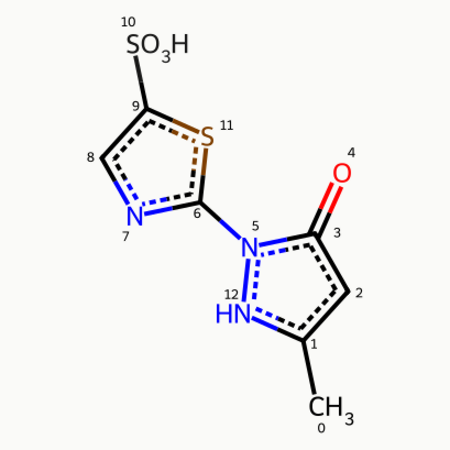 Cc1cc(=O)n(-c2ncc(S(=O)(=O)O)s2)[nH]1